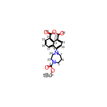 CC(C)(C)OC(=O)N1CCCN(c2ccc3c4c(cccc24)C(=O)OC3=O)CC1